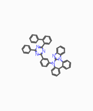 c1ccc(-c2nc(-c3cccc(N4c5ccccc5-c5ccccc5-n5c4nc4ccccc45)c3)nc(-c3ccccc3-c3ccccc3)n2)cc1